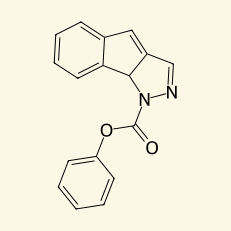 O=C(Oc1ccccc1)N1N=CC2=Cc3ccccc3C21